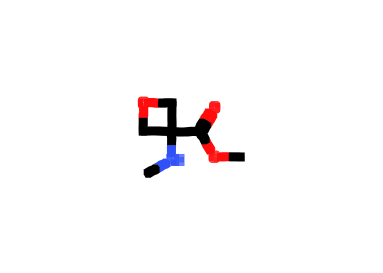 CNC1(C(=O)OC)COC1